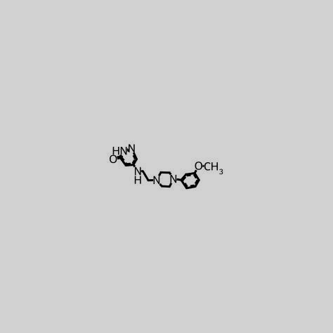 COc1cccc(N2CCN(CCNc3cn[nH]c(=O)c3)CC2)c1